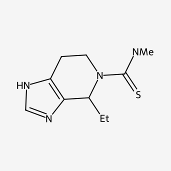 CCC1c2nc[nH]c2CCN1C(=S)NC